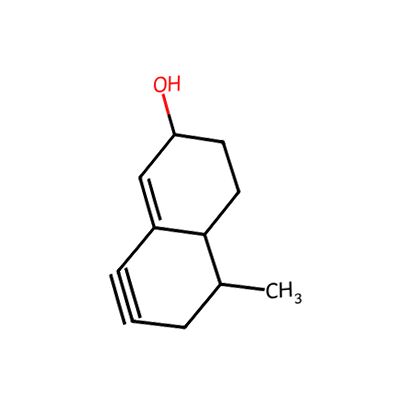 CC1CC#CC2=CC(O)CCC21